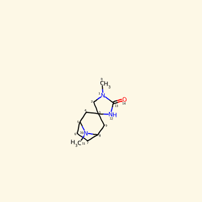 CN1CC2(CC3CCC(C2)N3C)NC1=O